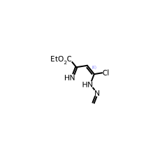 C=NN/C(Cl)=C\C(=N)C(=O)OCC